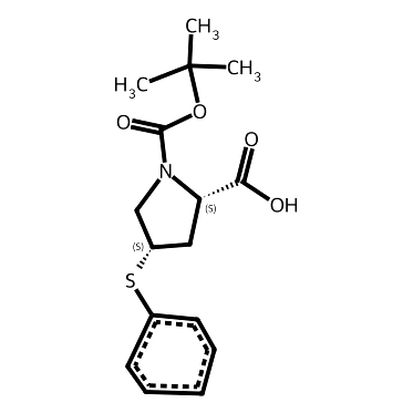 CC(C)(C)OC(=O)N1C[C@@H](Sc2ccccc2)C[C@H]1C(=O)O